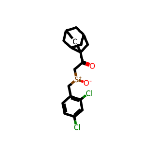 O=C(C[S+]([O-])Cc1ccc(Cl)cc1Cl)C12CC3CC(CC1C3)C2